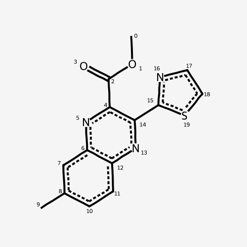 COC(=O)c1nc2cc(C)ccc2nc1-c1nccs1